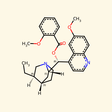 CC[C@H]1CN2CC[C@H]1C[C@H]2[C@H](OC(=O)c1ccccc1OC)c1ccnc2ccc(OC)cc12